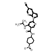 CC(C)Nc1cc(-n2ccc3cc(C#N)cnc32)ncc1C(=O)NC1CCC([N+](=O)[O-])CC1